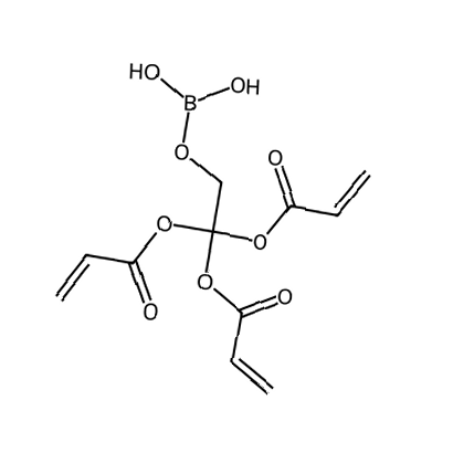 C=CC(=O)OC(COB(O)O)(OC(=O)C=C)OC(=O)C=C